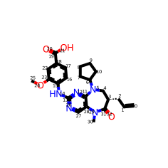 C=CC[C@H]1CN(C2CCCC2)c2nc(Nc3ccc(C(=O)O)cc3OC)ncc2N(C)C1=O